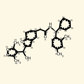 Cc1ccc([C@@H](NC(=O)Cc2ccc3oc(C(O)c4c(C)noc4C)cc3c2)c2ccccc2)c(C)c1